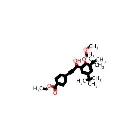 CCOC(=O)c1ccc(C#CC(O)c2cc(C(C)(C)C)cc(C(C)(C)C)c2OCOC)cc1